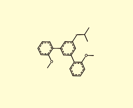 COc1ccccc1-c1cc([CH]C(C)C)cc(-c2ccccc2OC)c1